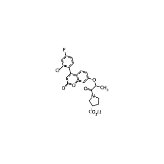 CC(Oc1ccc2c(-c3ccc(F)cc3Cl)cc(=O)oc2c1)C(=O)N1CC[C@H](C(=O)O)C1